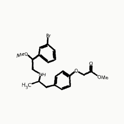 COC(=O)COc1ccc(CC(C)NCC(OC)c2cccc(Br)c2)cc1